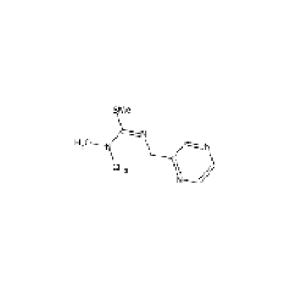 CSC(=NCc1cnccn1)N(C)C